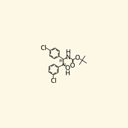 CC(C)(C)OC(=O)N[C@H](c1ccc(Cl)cc1)[C@@H](O)c1cccc(Cl)c1